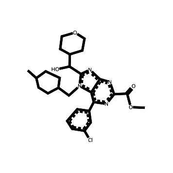 COC(=O)c1nc(-c2cccc(Cl)c2)c2c(n1)nc(C(O)C1CCOCC1)n2CC1CCC(C)CC1